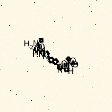 COC(=O)N[C@H](C(=O)N1CCC[C@H]1c1ncc(-c2ccc3cc(-c4ccc5nc([C@@H]6CCCN6C(=O)[C@@H](N)C6CCC6)[nH]c5n4)ccc3c2)[nH]1)C1CCC1